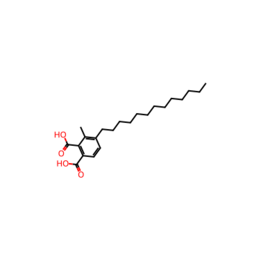 CCCCCCCCCCCCCc1ccc(C(=O)O)c(C(=O)O)c1C